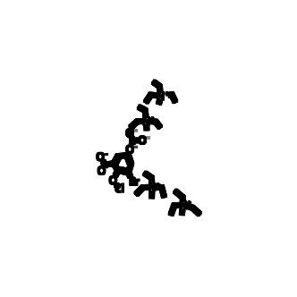 CC[N+](C)(CC)CC.CC[N+](C)(CC)CC.CC[N+](C)(CC)CC.CC[N+](C)(CC)CC.O=C([O-])c1cccc(Br)c1OCl.[O-]B([O-])[O-]